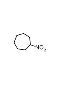 O=[N+]([O-])C1CCCCCC1